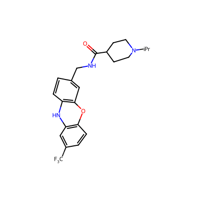 CC(C)N1CCC(C(=O)NCc2ccc3c(c2)Oc2ccc(C(F)(F)F)cc2N3)CC1